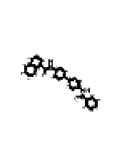 O=C(Nc1ccc(-c2ccc(NC(=O)c3cccc4ccccc34)cc2)nc1)c1ccccc1